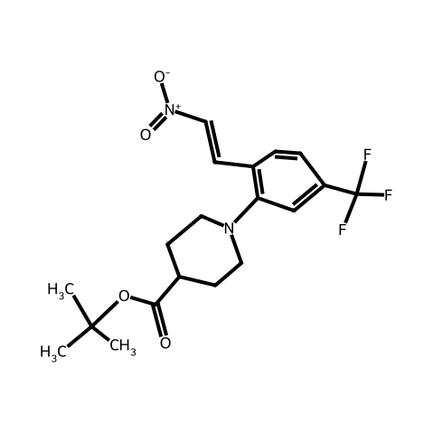 CC(C)(C)OC(=O)C1CCN(c2cc(C(F)(F)F)ccc2/C=C/[N+](=O)[O-])CC1